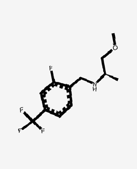 COC[C@@H](C)NCc1ccc(C(F)(F)F)cc1F